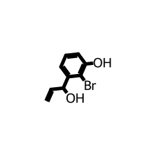 C=CC(O)c1cccc(O)c1Br